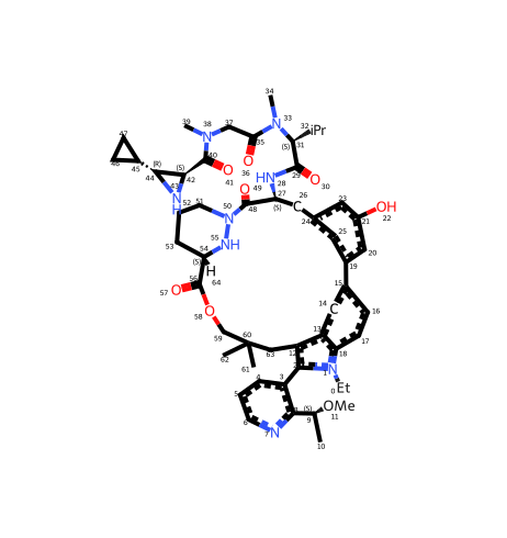 CCn1c(-c2cccnc2[C@H](C)OC)c2c3cc(ccc31)-c1cc(O)cc(c1)C[C@H](NC(=O)[C@H](C(C)C)N(C)C(=O)CN(C)C(=O)[C@H]1N[C@@H]1C1CC1)C(=O)N1CCC[C@H](N1)C(=O)OCC(C)(C)C2